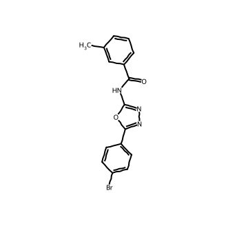 Cc1cccc(C(=O)Nc2nnc(-c3ccc(Br)cc3)o2)c1